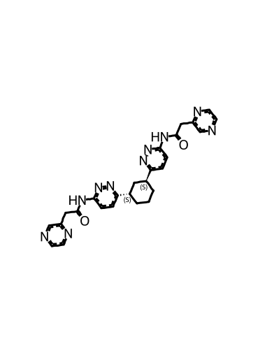 O=C(Cc1cnccn1)Nc1ccc([C@H]2CCC[C@H](c3ccc(NC(=O)Cc4cnccn4)nn3)C2)nn1